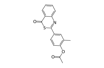 CC(=O)Oc1ccc(-c2nc3ccccc3c(=O)s2)cc1C